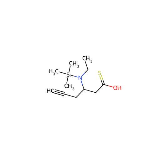 C#CCC(CC(O)=S)N(CC)[Si](C)(C)C